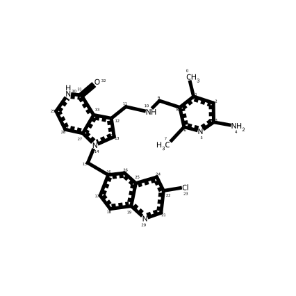 Cc1cc(N)nc(C)c1CNCc1cn(Cc2ccc3ncc(Cl)cc3c2)c2cc[nH]c(=O)c12